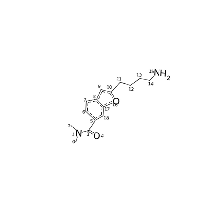 CN(C)C(=O)c1ccc2cc(CCCCN)oc2c1